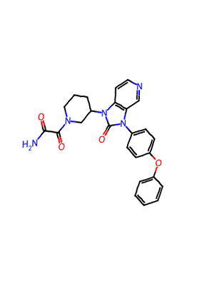 NC(=O)C(=O)N1CCCC(n2c(=O)n(-c3ccc(Oc4ccccc4)cc3)c3cnccc32)C1